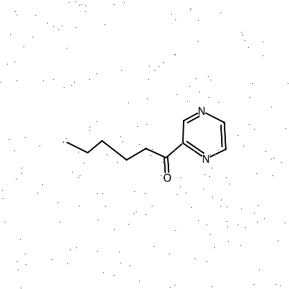 [CH2]CCCCC(=O)c1cnccn1